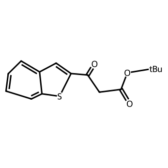 CC(C)(C)OC(=O)CC(=O)c1cc2ccccc2s1